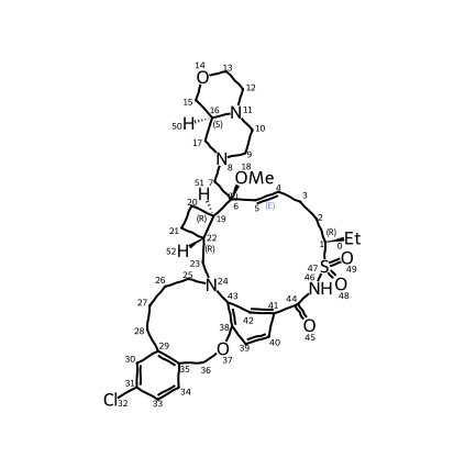 CC[C@@H]1CC/C=C/[C@](CN2CCN3CCOC[C@@H]3C2)(OC)[C@@H]2CC[C@H]2CN2CCCCc3cc(Cl)ccc3COc3ccc(cc32)C(=O)NS1(=O)=O